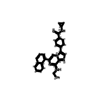 CC(C)CNc1nc(-c2cccc3ccccc23)cn2c(-c3ccc(C(=O)NC4CC4)cc3)cnc12